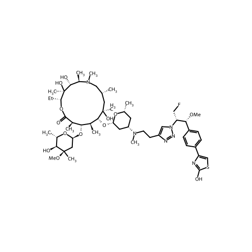 CC[C@H]1OC(=O)[C@H](C)[C@@H](O[C@H]2C[C@@](C)(OC)[C@@H](O)[C@H](C)O2)[C@H](C)[C@@H](O[C@H]2C[C@@H](N(C)CCc3cn([C@H](CF)[C@H](OC)c4ccc(-c5csc(O)n5)cc4)nn3)C[C@@H](C)O2)[C@](C)(O)C[C@@H](C)CN(C)[C@H](C)[C@@H](O)[C@]1(C)O